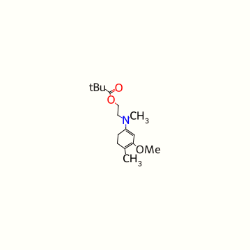 COC1=C(C)CCC(N(C)CCOC(=O)C(C)(C)C)=C1